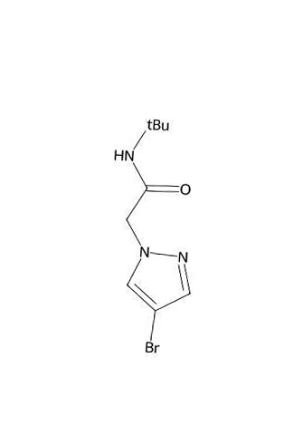 CC(C)(C)NC(=O)Cn1cc(Br)cn1